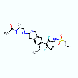 CCCS(=O)(=O)Nc1ccc(F)c(-c2cc3cnc(NCC(C)NC(C)=O)cc3cc2CC)c1F